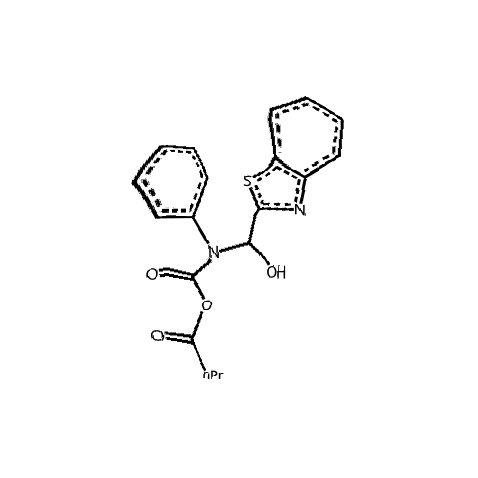 CCCC(=O)OC(=O)N(c1ccccc1)C(O)c1nc2ccccc2s1